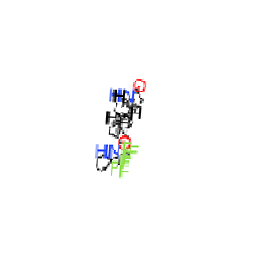 C[C@]12CCC(=O)N[C@@H]1CC[C@@H]1[C@@H]2CC[C@]2(C)C(C(=O)NC(c3ccccc3)(C(F)(F)F)C(F)(F)F)=CC[C@@H]12